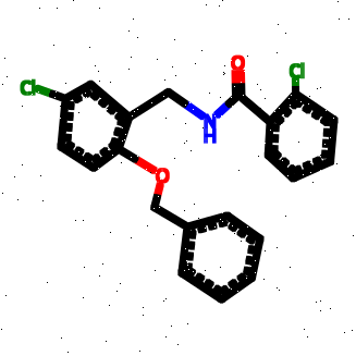 O=C(NCc1cc(Cl)ccc1OCc1ccccc1)c1ccccc1Cl